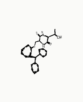 CC(O)C1NC(=O)C(CSc2ccccc2C(c2ccccc2)c2ccccc2)NC1=O